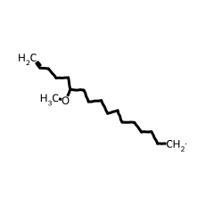 [CH2]CCCCCCCCCCC(CCCC=C)OC